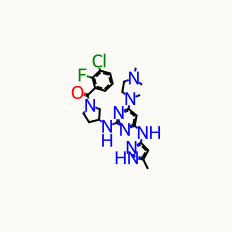 Cc1cc(Nc2cc(N(C)CCN(C)C)nc(N[C@H]3CCN(C(=O)c4cccc(Cl)c4F)C3)n2)n[nH]1